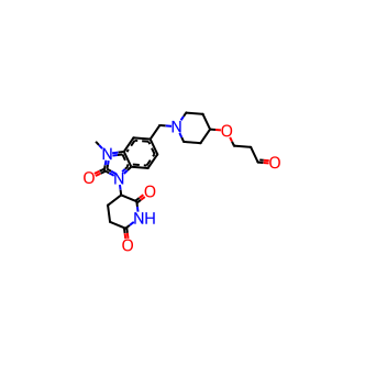 Cn1c(=O)n(C2CCC(=O)NC2=O)c2ccc(CN3CCC(OCCC=O)CC3)cc21